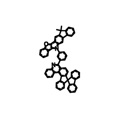 CC1(C)c2ccccc2-c2cc3c(cc21)c1oc2ccccc2c1n3-c1cccc(-c2nc3ccccc3c3c4c(ccc23)C2(c3ccccc3-c3ccccc32)c2ccccc2-4)c1